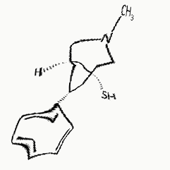 CN1C[C@@H]2[C@@H](c3ccccc3)[C@]2(S)C1